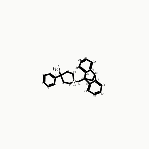 OC1(c2ccccc2)CCN(CC23CC(c4ccccc42)c2ccccc23)CC1